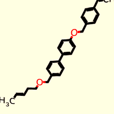 C=Cc1ccc(COc2ccc(-c3ccc(COCCC=CC)cc3)cc2)cc1